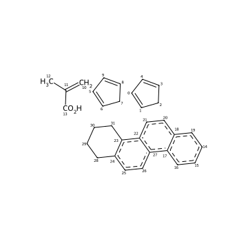 C1=CCC=C1.C1=CCC=C1.C=C(C)C(=O)O.c1ccc2c(c1)ccc1c3c(ccc12)CCCC3